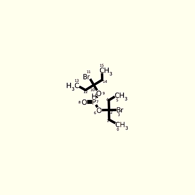 CCC(Br)(CC)O[PH](=O)OC(Br)(CC)CC